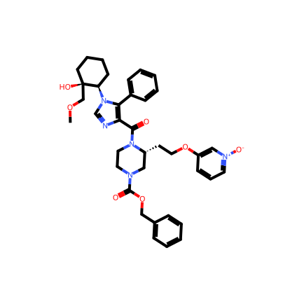 COC[C@]1(O)CCCC[C@H]1n1cnc(C(=O)N2CCN(C(=O)OCc3ccccc3)C[C@H]2CCOc2ccc[n+]([O-])c2)c1-c1ccccc1